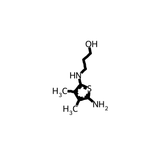 Cc1c(N)sc(NCCCO)c1C